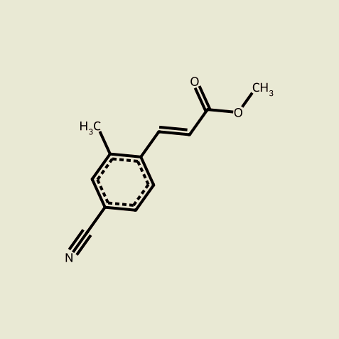 COC(=O)C=Cc1ccc(C#N)cc1C